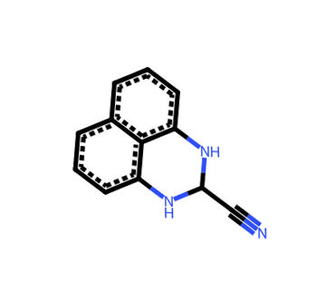 N#CC1Nc2cccc3cccc(c23)N1